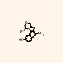 CC(C)[C@H]1COCc2nc3c(N)nc4ccc(O)cc4c3n21